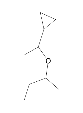 CCC(C)OC(C)C1CC1